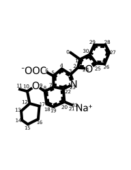 Cc1c(-c2cc(C(=O)[O-])c3c(OC(C)C4CCCCC4)ccc(C)c3n2)oc2ccccc12.[Na+]